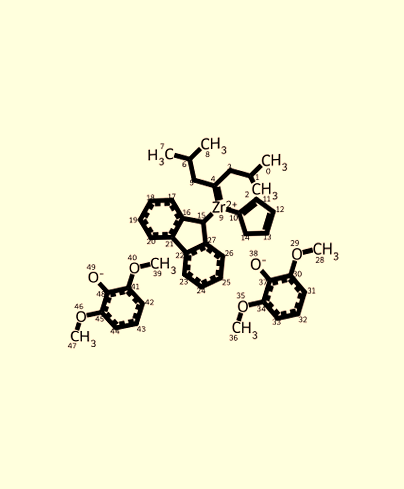 CC(C)C[C](CC(C)C)=[Zr+2]([C]1=CC=CC1)[CH]1c2ccccc2-c2ccccc21.COc1cccc(OC)c1[O-].COc1cccc(OC)c1[O-]